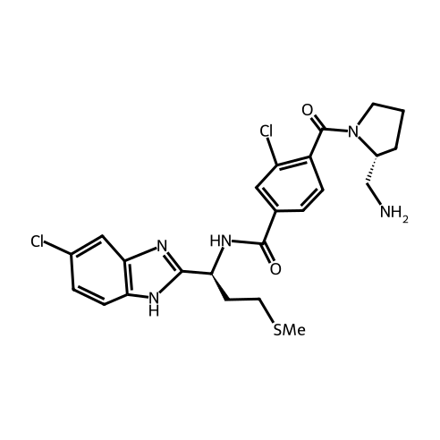 CSCC[C@H](NC(=O)c1ccc(C(=O)N2CCC[C@@H]2CN)c(Cl)c1)c1nc2cc(Cl)ccc2[nH]1